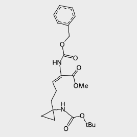 COC(=O)/C(=C\CCC1(NC(=O)OC(C)(C)C)CC1)NC(=O)OCc1ccccc1